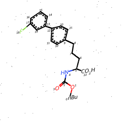 CCCCOC(=O)NC(CCCc1ccc(-c2cccc(F)c2)cc1)C(=O)O